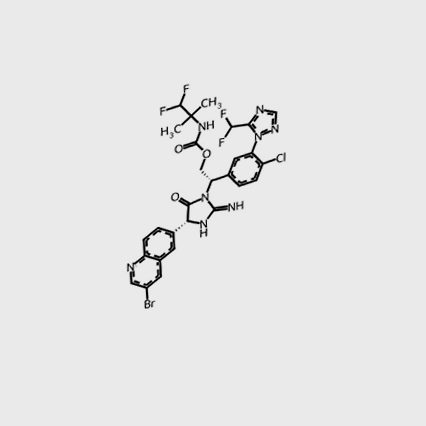 CC(C)(NC(=O)OC[C@H](c1ccc(Cl)c(-n2ncnc2C(F)F)c1)N1C(=N)N[C@H](c2ccc3ncc(Br)cc3c2)C1=O)C(F)F